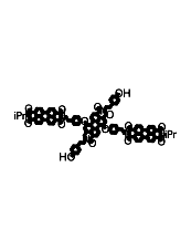 CC(C)N1C(=O)c2ccc3c4ccc5c6c(ccc(c7ccc(c2c37)C1=O)c64)C(=O)N(CCc1ccc(Oc2cc3c4c(ccc6c7c(Oc8ccc(CCN9C(=O)c%10ccc%11c%12ccc%13c%14c(ccc(c%15ccc(c%10c%11%15)C9=O)c%14%12)C(=O)N(C(C)C)C%13=O)cc8)cc8c9c(ccc(c2c46)c97)C(=O)N(CCc2ccc(O)cc2)C8=O)C(=O)N(CCc2ccc(O)cc2)C3)cc1)C5=O